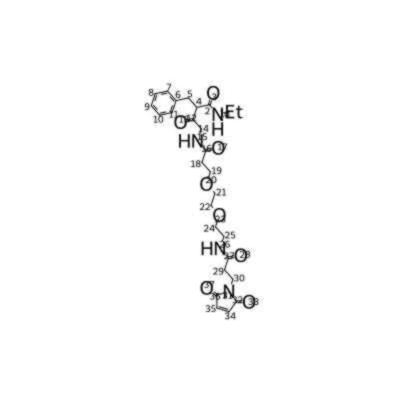 CCNC(=O)C(Cc1ccccc1)C(=O)CNC(=O)CCOCCOCCNC(=O)CCN1C(=O)C=CC1=O